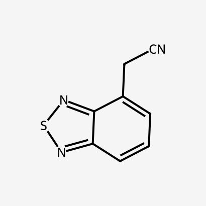 N#CCc1cccc2nsnc12